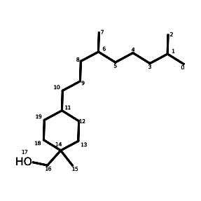 CC(C)CCCC(C)CCCC1CCC(C)(CO)CC1